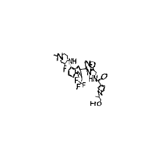 CC(CO)n1ccc(C(=O)NCc2nc(-c3cc4c(N[C@@H]5CCN(C)C[C@@H]5F)cccc4n3CC(F)(F)F)no2)c1